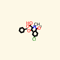 Cn1c(C(=O)O)c(OCc2ccccc2)c2cc(Cl)ccc2c1=O